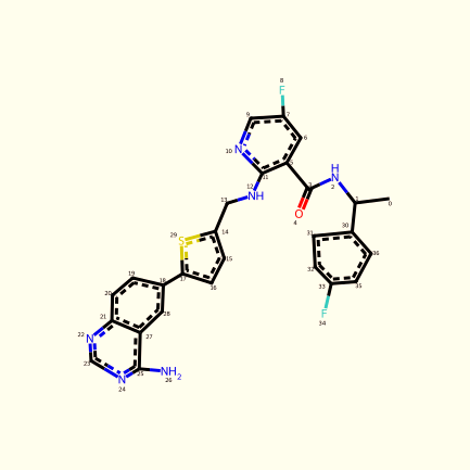 CC(NC(=O)c1cc(F)cnc1NCc1ccc(-c2ccc3ncnc(N)c3c2)s1)c1ccc(F)cc1